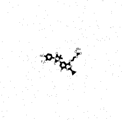 CC(C)(C)OC(=O)OCCOc1nc(C2CC2)nc2c(F)cc(N3C(=S)N(c4ccc(C#N)c(C(F)(F)F)c4)C(=O)C3(C)C)cc12